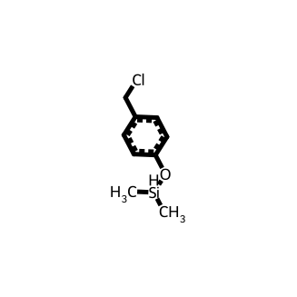 C[SiH](C)Oc1ccc(CCl)cc1